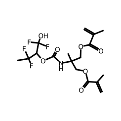 C=C(C)C(=O)OCC(C)(COC(=O)C(=C)C)NC(=O)OC(C(C)(F)F)C(O)(F)F